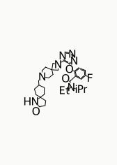 CCN(C(=O)c1cc(F)ccc1Oc1nncnc1N1CC2(CCN(CC3CCC4(CCC(=O)N4)CC3)CC2)C1)C(C)C